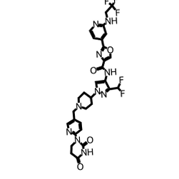 O=C1CCN(c2ccc(CN3CCC(n4cc(NC(=O)c5coc(-c6ccnc(NCC(F)(F)F)c6)n5)c(C(F)F)n4)CC3)cn2)C(=O)N1